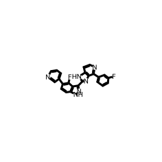 Fc1cccc(-c2nccc3[nH]c(-c4n[nH]c5ccc(-c6cccnc6)c(F)c45)nc23)c1